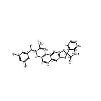 CC(c1cc(F)cc(F)c1)N(Cc1cnc2cc3c(cc2c1)CC1(C3)C(=O)Nc2ncccc21)C(=O)C(C)(C)C